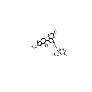 Cn1cc2c(Cl)c(-c3cn(COCCS(C)(C)C)c4nc(Cl)cnc34)ccc2n1